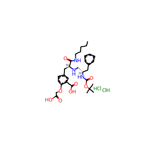 CCCCCNC(=O)[C@H](Cc1ccc(OCC(=O)O)c(C(=O)O)c1)NC[C@H](Cc1ccccc1)NC(=O)OC(C)(C)C.Cl.Cl